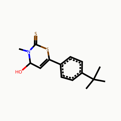 CN1C(=S)SC(c2ccc(C(C)(C)C)cc2)=CC1O